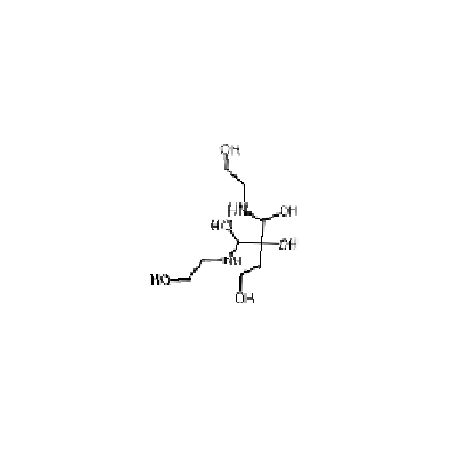 OCCNC(O)C(O)(CCO)C(O)NCCO